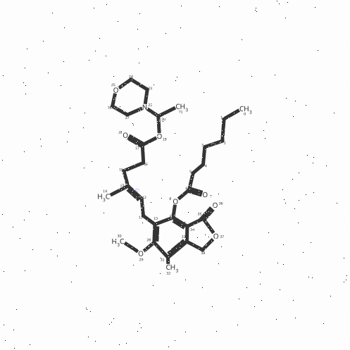 CCCCCCC(=O)Oc1c(C/C=C(\C)CCC(=O)OC(C)N2CCOCC2)c(OC)c(C)c2c1C(=O)OC2